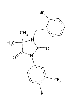 CC1(C)C(=O)N(c2ccc(F)c(C(F)(F)F)c2)C(=O)N1Cc1ccccc1Br